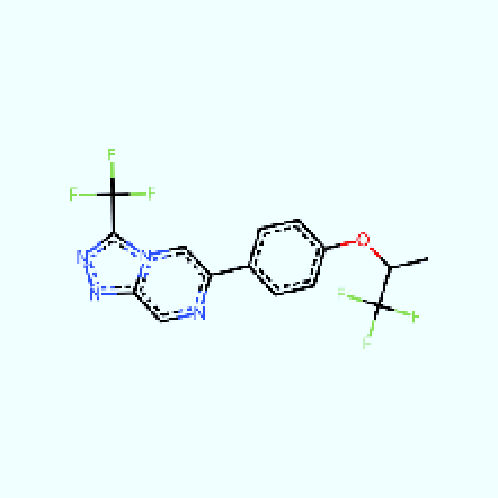 CC(Oc1ccc(-c2cn3c(C(F)(F)F)nnc3cn2)cc1)C(F)(F)F